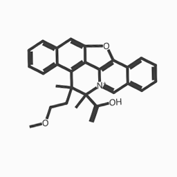 C=C(O)C1(C)[n+]2cc3ccccc3c3oc4cc5ccccc5c(c4c32)C1(C)CCOC